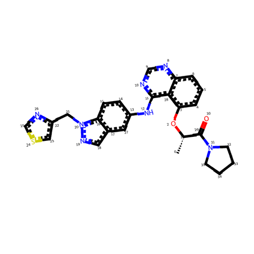 C[C@H](Oc1cccc2ncnc(Nc3ccc4c(cnn4Cc4cscn4)c3)c12)C(=O)N1CCCC1